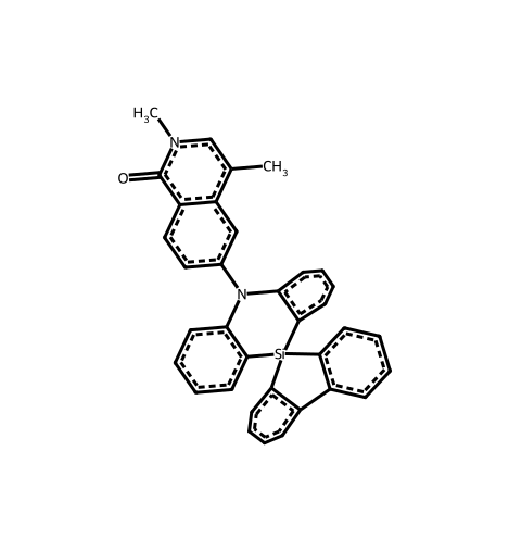 Cc1cn(C)c(=O)c2ccc(N3c4ccccc4[Si]4(c5ccccc5-c5ccccc54)c4ccccc43)cc12